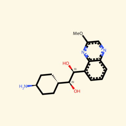 COc1cnc2cccc([C@H](O)[C@@H](O)[C@H]3CC[C@H](N)CC3)c2n1